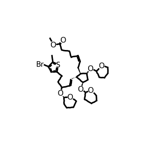 COC(=O)CCC/C=C\C[C@@H]1[C@@H](/C=C/C(CCc2cc(Br)c(C)s2)O[C@H]2CCCCO2)[C@H](OC2CCCCO2)C[C@@H]1OC1CCCCO1